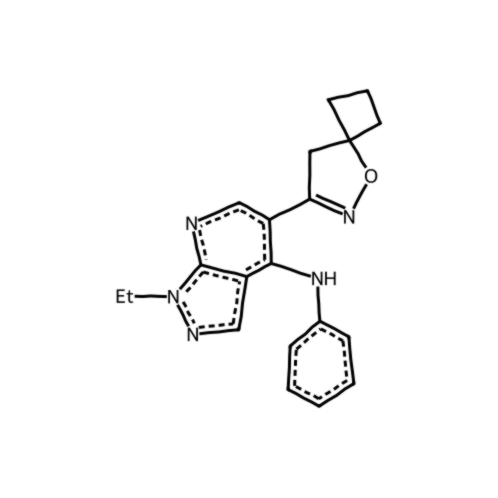 CCn1ncc2c(Nc3ccccc3)c(C3=NOC4(CCC4)C3)cnc21